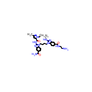 CCn1nc(C)cc1C(=O)Nc1nc2cc(C(N)=O)ccc2n1CCCCn1c(NC)nc2cc(C(=O)NCCN)ccc21